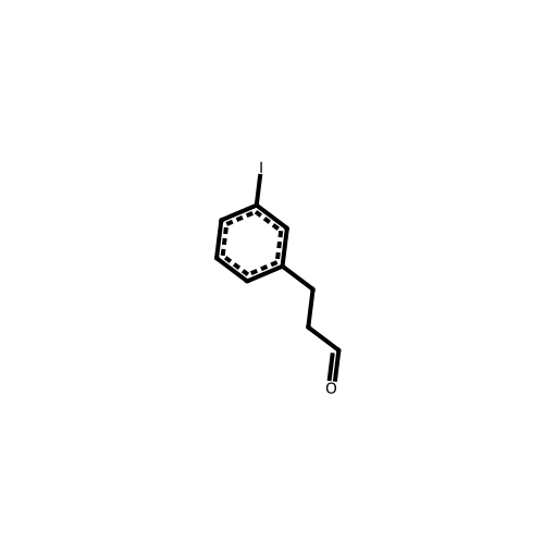 O=CCCc1cccc(I)c1